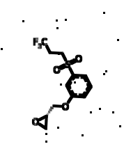 O=S(=O)(CCC(F)(F)F)c1cccc(OC[C@@H]2CO2)c1